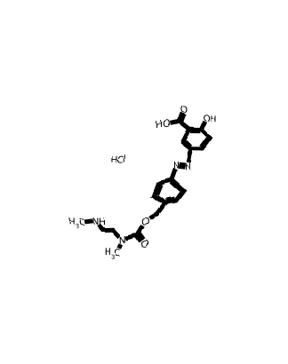 CNCCN(C)C(=O)OCc1ccc(N=Nc2ccc(O)c(C(=O)O)c2)cc1.Cl